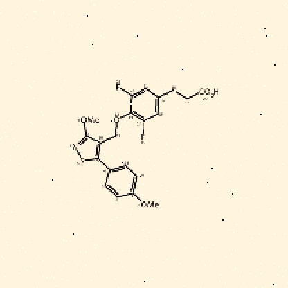 COc1ccc(-c2snc(OC)c2COc2c(F)cc(CCC(=O)O)cc2F)cc1